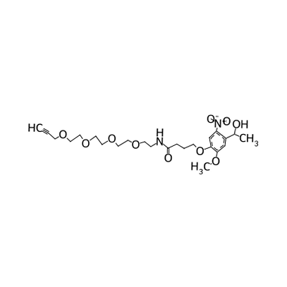 C#CCOCCOCCOCCOCCNC(=O)CCCOc1cc([N+](=O)[O-])c(C(C)O)cc1OC